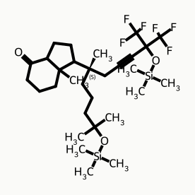 CC(C)(CCC[C@@](C)(CC#CC(O[Si](C)(C)C)(C(F)(F)F)C(F)(F)F)C1CCC2C(=O)CCCC21C)O[Si](C)(C)C